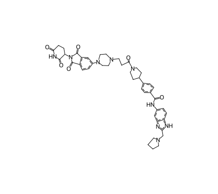 O=C1CCC(N2C(=O)c3ccc(N4CCN(CCC(=O)N5CCC(c6ccc(C(=O)Nc7ccc8[nH]c(CN9CCCC9)nc8c7)cc6)CC5)CC4)cc3C2=O)C(=O)N1